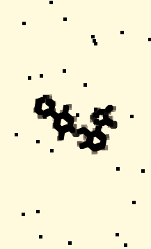 Cc1cc(-c2cnccn2)c(C)cc1OCc1c(C)cccc1-n1nnn(C)c1=O